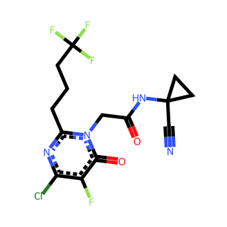 N#CC1(NC(=O)Cn2c(CCCC(F)(F)F)nc(Cl)c(F)c2=O)CC1